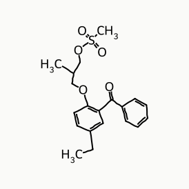 CCc1ccc(OCC(C)COS(C)(=O)=O)c(C(=O)c2ccccc2)c1